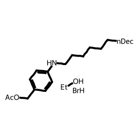 Br.CCCCCCCCCCCCCCCCNc1ccc(COC(C)=O)cc1.CCO